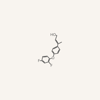 CC(=CCO)c1ccc(Oc2ccc(F)cc2F)cc1